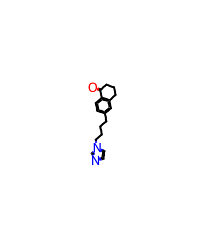 O=C1CCCc2cc(CCCCn3ccnc3)ccc21